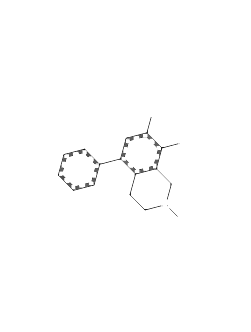 CCN1CCc2c(-c3ccccc3)cc(I)c(O)c2C1